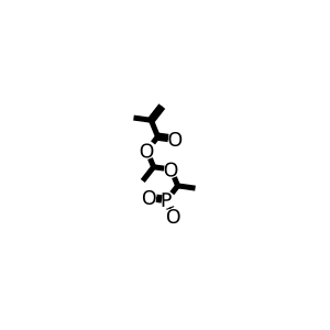 C=C(C)C(=O)OC(C)OC(C)P(=O)=O